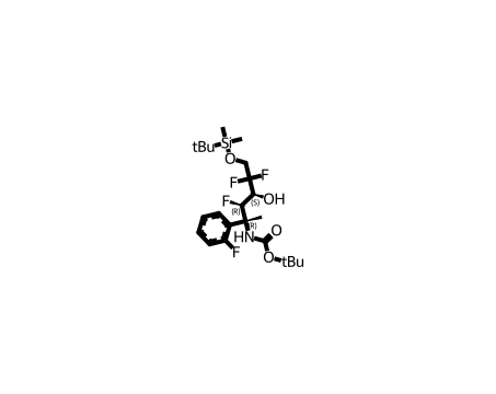 CC(C)(C)OC(=O)N[C@](C)(c1ccccc1F)[C@@H](F)[C@H](O)C(F)(F)CO[Si](C)(C)C(C)(C)C